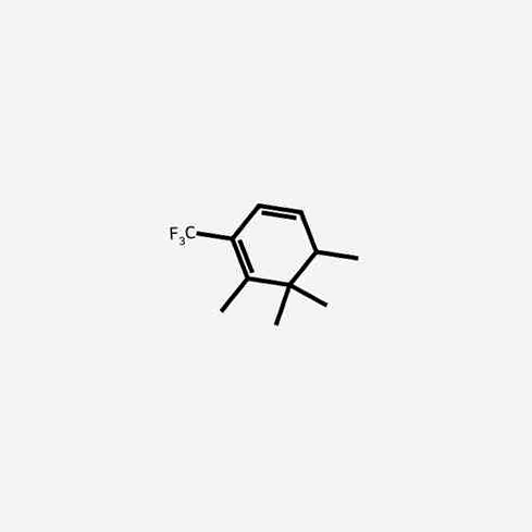 CC1=C(C(F)(F)F)C=CC(C)C1(C)C